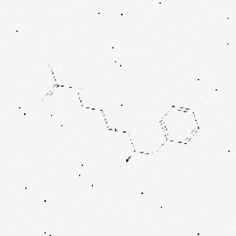 N=C(N)NCCCC[C@@H](Nc1ccccc1)C(=O)O